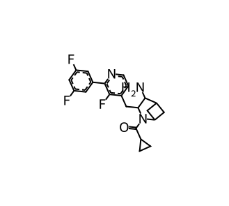 NC1C2CC(C2)N(C(=O)C2CC2)C1Cc1ccnc(-c2cc(F)cc(F)c2)c1F